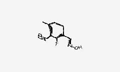 Cc1ccc(C=NO)c(F)c1Br